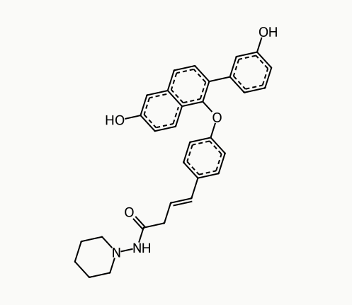 O=C(CC=Cc1ccc(Oc2c(-c3cccc(O)c3)ccc3cc(O)ccc23)cc1)NN1CCCCC1